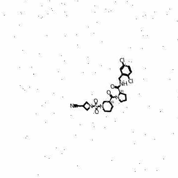 N#CC1CN(S(=O)(=O)N2CCC[C@H](C(=O)N3CCC[C@@H]3C(=O)NCc3cc(Cl)ccc3Cl)C2)C1